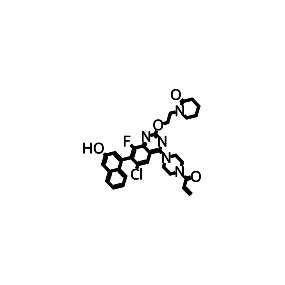 C=CC(=O)N1CCN(c2nc(OCCN3CCCCC3=O)nc3c(F)c(-c4cc(O)cc5ccccc45)c(Cl)cc23)CC1